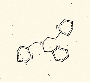 c1ccc(CCN(Cc2ccccn2)Cc2ccccn2)nc1